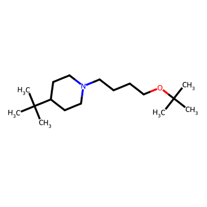 CC(C)(C)OCCCCN1CCC(C(C)(C)C)CC1